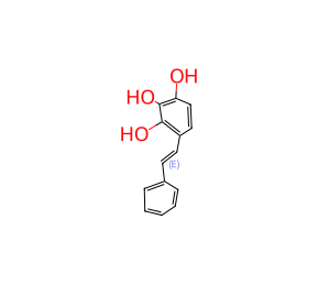 Oc1ccc(/C=C/c2ccccc2)c(O)c1O